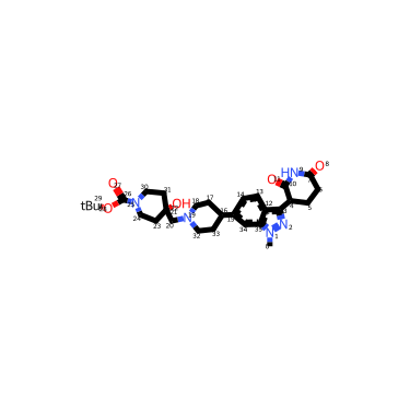 Cn1nc(C2CCC(=O)NC2=O)c2ccc(C3CCN(CC4(O)CCN(C(=O)OC(C)(C)C)CC4)CC3)cc21